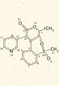 Cc1cc(-c2ccccc2S(C)(=O)=O)c(-c2cccnc2)c(=O)o1